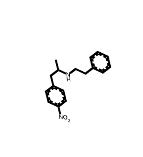 CC(Cc1ccc([N+](=O)[O-])cc1)NCCc1ccccc1